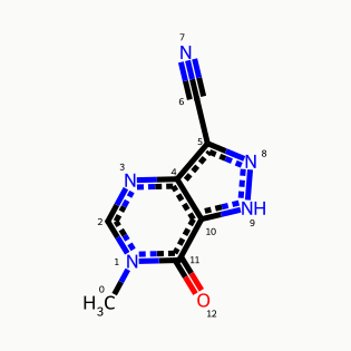 Cn1cnc2c(C#N)n[nH]c2c1=O